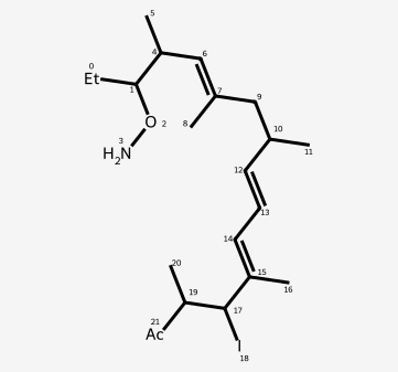 CCC(ON)C(C)/C=C(\C)CC(C)/C=C/C=C(\C)C(I)C(C)C(C)=O